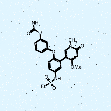 CCS(=O)(=O)Nc1ccc(Oc2cccc(OC(N)=O)c2)c(-c2cn(C)c(=O)cc2OC)c1